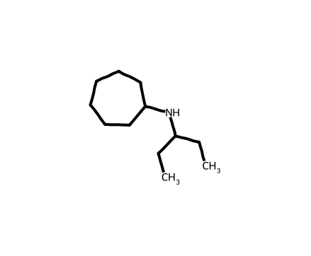 CCC(CC)NC1CCCCCC1